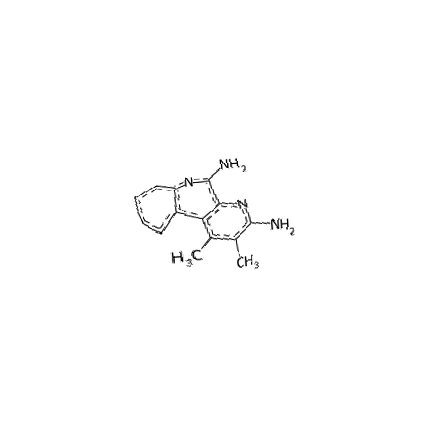 Cc1c(N)nc2c(N)nc3ccccc3c2c1C